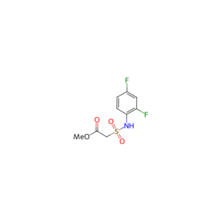 COC(=O)CS(=O)(=O)Nc1ccc(F)cc1F